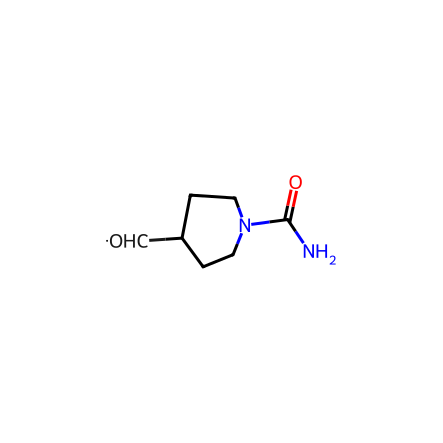 NC(=O)N1CCC([C]=O)CC1